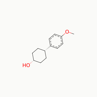 COc1ccc([C@H]2CC[C@@H](O)CC2)cc1